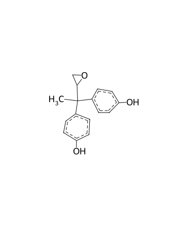 CC(c1ccc(O)cc1)(c1ccc(O)cc1)C1CO1